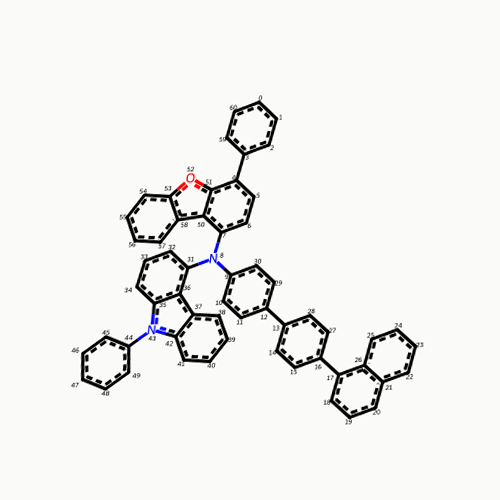 c1ccc(-c2ccc(N(c3ccc(-c4ccc(-c5cccc6ccccc56)cc4)cc3)c3cccc4c3c3ccccc3n4-c3ccccc3)c3c2oc2ccccc23)cc1